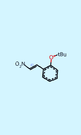 CC(C)(C)Oc1ccccc1/C=C/[N+](=O)[O-]